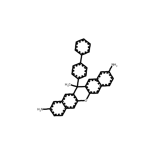 CC1(c2ccc(-c3ccccc3)cc2)c2cc3cc(N)ccc3cc2Oc2cc3ccc(N)cc3cc21